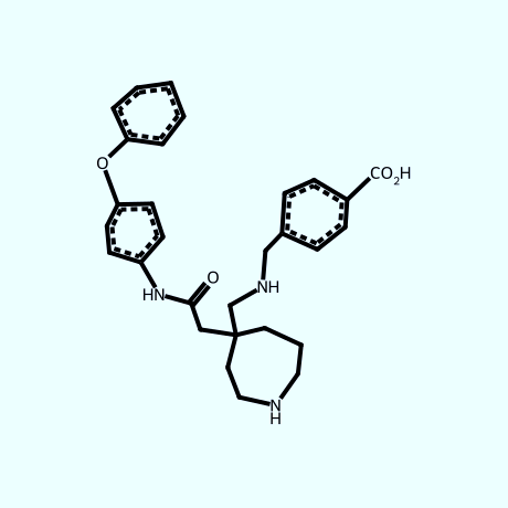 O=C(CC1(CNCc2ccc(C(=O)O)cc2)CCCNCC1)Nc1ccc(Oc2ccccc2)cc1